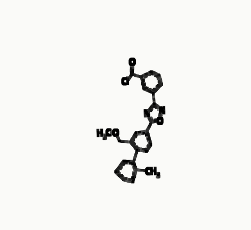 COCc1cc(-c2nc(-c3cccc(C(=O)Cl)c3)no2)ccc1-c1ccccc1C